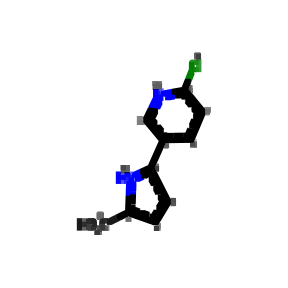 O=C(O)c1ccc(-c2ccc(Cl)nc2)[nH]1